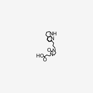 O=C(O)CCN1CCN(CCCc2ccc3c(n2)NCCC3)C1=O